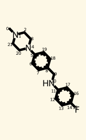 CN1CCN(c2ccc(CNc3ccc(F)cc3)cc2)CC1